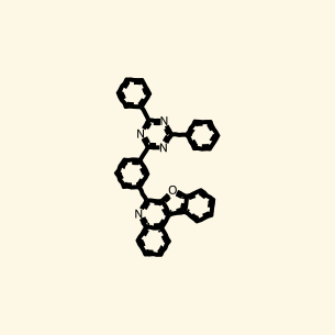 c1ccc(-c2nc(-c3ccccc3)nc(-c3cccc(-c4nc5ccccc5c5c4oc4ccccc45)c3)n2)cc1